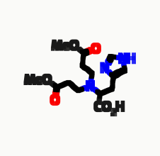 COC(=O)CCN(CCC(=O)OC)C(Cc1c[nH]cn1)C(=O)O